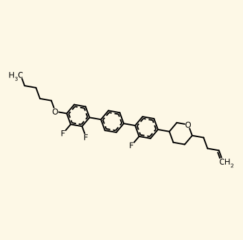 C=CCCC1CCC(c2ccc(-c3ccc(-c4ccc(OCCCCC)c(F)c4F)cc3)c(F)c2)CO1